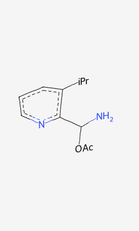 CC(=O)OC(N)c1ncccc1C(C)C